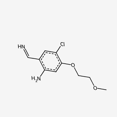 COCCOc1cc(N)c(C=N)cc1Cl